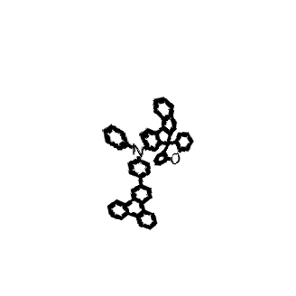 c1ccc(N(c2ccc(-c3ccc4c5ccccc5c5ccccc5c4c3)cc2)c2ccc3c(c2)C2(c4ccccc4Oc4ccccc42)c2ccc4ccccc4c2-3)cc1